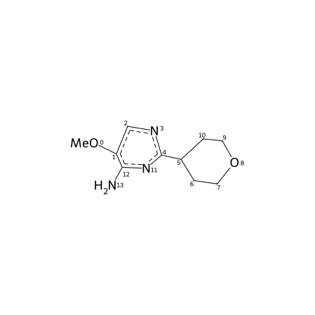 COc1cnc(C2CCOCC2)nc1N